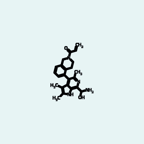 C=CC(=O)N1CCc2c(cccc2-c2c(C)nc(C(N)O)c3[nH]c(C)c(C)c23)C1